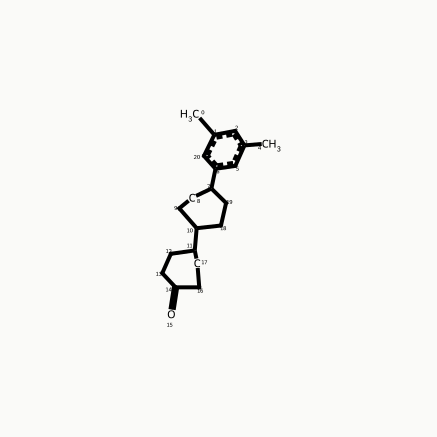 Cc1cc(C)cc(C2CCC(C3CCC(=O)CC3)CC2)c1